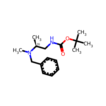 C[C@@H](CNC(=O)OC(C)(C)C)N(C)Cc1ccccc1